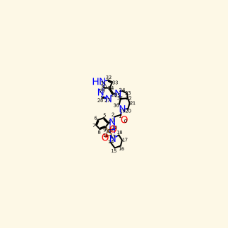 O=C(CNc1ccccc1S(=O)(=O)N1CCCCC1)N1CCC2CCN(c3ncnc4[nH]ccc34)C2C1